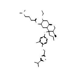 CCCC1(Nc2ccc(OCc3nc(C(C)C)no3)c(Cl)c2)C(C#N)CN=C2CC(OCC)C(NC(=O)CCCN(C)C)CC21